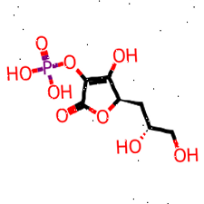 O=C1O[C@H](C[C@@H](O)CO)C(O)=C1OP(=O)(O)O